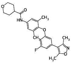 Cc1cc(NC(=O)C2CCOCC2)cc(C)c1Oc1cc(F)cc(-c2c(C)noc2C)c1